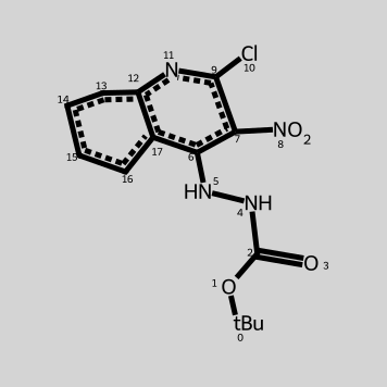 CC(C)(C)OC(=O)NNc1c([N+](=O)[O-])c(Cl)nc2ccccc12